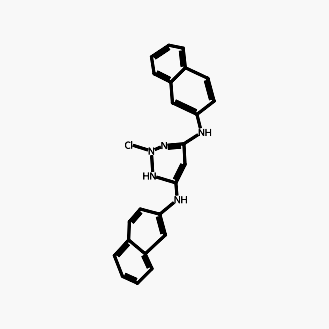 ClN1N=C(Nc2ccc3ccccc3c2)C=C(Nc2ccc3ccccc3c2)N1